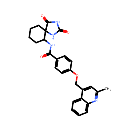 Cc1cc(COc2ccc(C(=O)NC3CCCCC34NC(=O)NC4=O)cc2)c2ccccc2n1